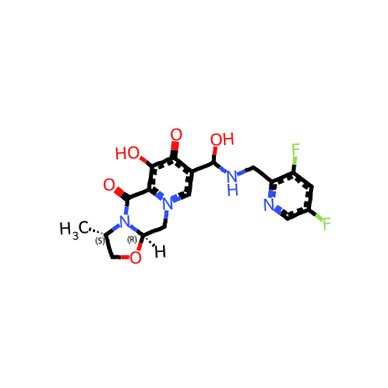 C[C@H]1CO[C@@H]2Cn3cc(C(O)NCc4ncc(F)cc4F)c(=O)c(O)c3C(=O)N12